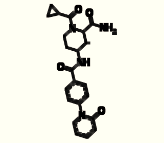 NC(=O)C1[CH]C(NC(=O)c2ccc(-n3ccccc3=O)cc2)CCN1C(=O)C1CC1